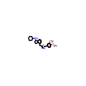 CC(C)Oc1ccc(-c2ncc(Cc3cccc4c3CCC4NC3CCCCC3)s2)cc1C#N